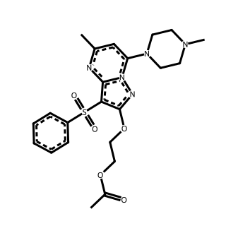 CC(=O)OCCOc1nn2c(N3CCN(C)CC3)cc(C)nc2c1S(=O)(=O)c1ccccc1